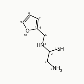 NCC(S)NCc1ccco1